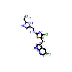 CCC1NC=C(CNc2nc(Cl)c(Cc3c[nH]c4ncc(Cl)cc34)s2)N1